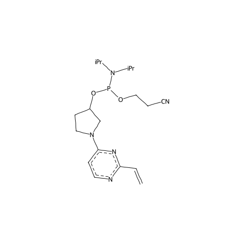 C=Cc1nccc(N2CCC(OP(OCCC#N)N(C(C)C)C(C)C)C2)n1